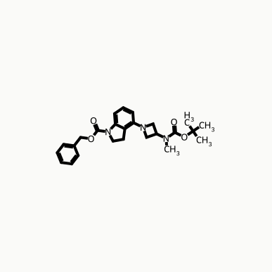 CN(C(=O)OC(C)(C)C)C1CN(c2cccc3c2CCN3C(=O)OCc2ccccc2)C1